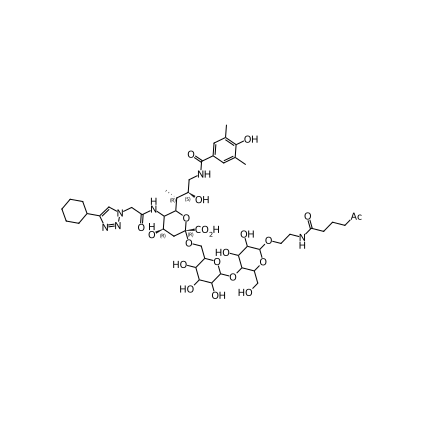 CC(=O)CCCC(=O)NCCOC1OC(CO)C(OC2OC(CO[C@]3(C(=O)O)C[C@@H](O)C(NC(=O)Cn4cc(C5CCCCC5)nn4)C([C@H](C)[C@H](O)CNC(=O)c4cc(C)c(O)c(C)c4)O3)C(O)C(O)C2O)C(O)C1O